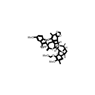 C=C1S[C@H]2[C@H]3[C@@H]4C5C(OCOC)=C(OC)C(C)=CC5[C@H]5C[C@@H]([C@H](C)N3[C@H]3c6c7c(c(C)c(OC(C)=O)c6C32C(=O)C[C@]1(NC)c1[nH]c2ccc(OC)cc2c1CC)OCO7)N54